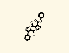 O=C(Oc1ccccc1)c1ncn2c(=O)c3c(-c4ccccc4)ncn3c(=O)c12